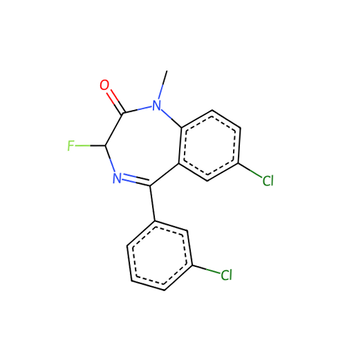 CN1C(=O)C(F)N=C(c2cccc(Cl)c2)c2cc(Cl)ccc21